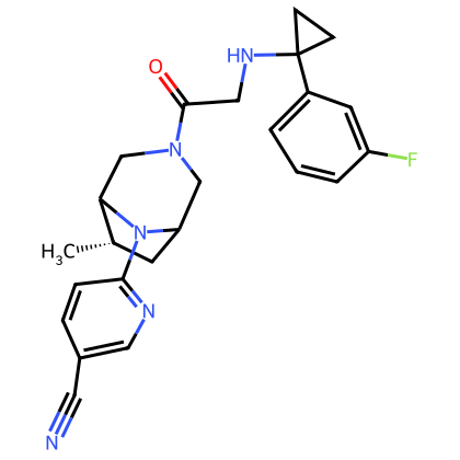 C[C@H]1CC2CN(C(=O)CNC3(c4cccc(F)c4)CC3)CC1N2c1ccc(C#N)cn1